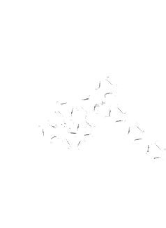 c1ccc(-c2ccc(-c3ccc(N(c4ccccc4)c4ccc(-c5cccc(-n6c7ccccc7c7ccccc76)c5-c5ccccc5)cc4)cc3)cc2)cc1